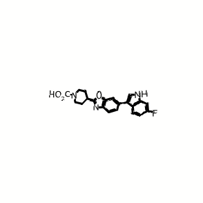 O=C(O)N1CCC(c2nc3ccc(-c4c[nH]c5cc(F)ccc45)cc3o2)CC1